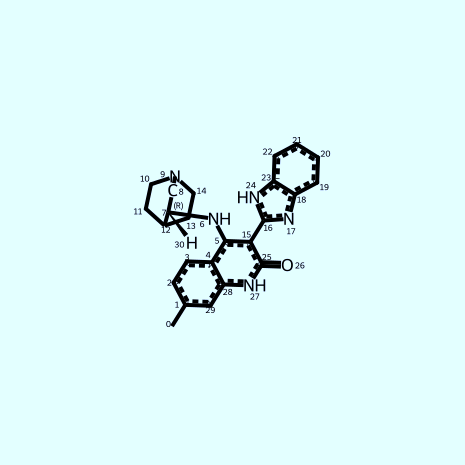 Cc1ccc2c(N[C@H]3CN4CCC3CC4)c(-c3nc4ccccc4[nH]3)c(=O)[nH]c2c1